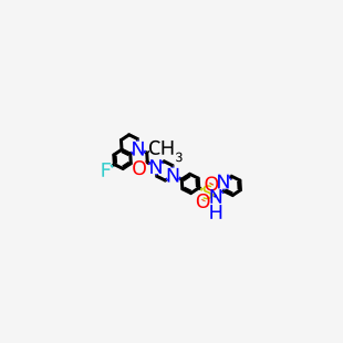 C[C@H](C(=O)N1CCN(c2ccc(S(=O)(=O)Nc3ccccn3)cc2)CC1)N1CCCc2cc(F)ccc21